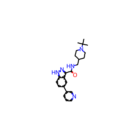 CC(C)(C)N1CCC(CNC(=O)c2n[nH]c3ccc(-c4cccnc4)cc23)CC1